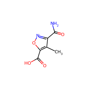 Cc1c(C(N)=O)noc1C(=O)O